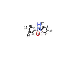 Cc1ccc(NC(=O)c2ccc(C)c(C)c2)c(C)c1